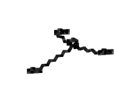 CCCCCCCCCCCCCCCCCCc1n(CCCCCCCCCCCCCCC)cc[n+]1CCCCCCCCCCCCC